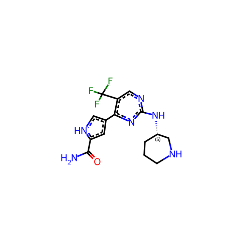 NC(=O)c1cc(-c2nc(N[C@H]3CCCNC3)ncc2C(F)(F)F)c[nH]1